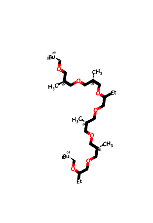 CCC(COC[C@@H](C)COC[C@H](C)COCC(CC)OC[C@@H](C)COC[C@@H](C)COC[C@@H](C)CC)OC[C@@H](C)CC